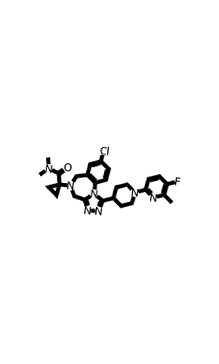 Cc1nc(N2CCC(c3nnc4n3-c3ccc(Cl)cc3CN(C3(C(=O)N(C)C)CC3)C4)CC2)ccc1F